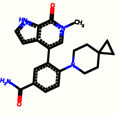 Cn1cc(-c2cc(C(N)=O)ccc2N2CCC3(CC2)CC3)c2cc[nH]c2c1=O